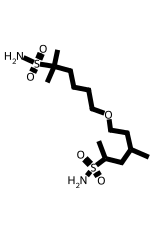 CC(CCOCCCCC(C)(C)S(N)(=O)=O)CC(C)S(N)(=O)=O